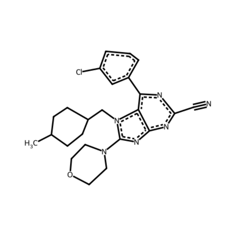 CC1CCC(Cn2c(N3CCOCC3)nc3nc(C#N)nc(-c4cccc(Cl)c4)c32)CC1